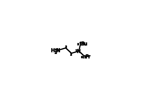 CCCN(CCN)C(C)(C)C